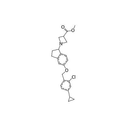 COC(=O)C1CN(C2CCc3cc(OCc4ccc(C5CC5)cc4Cl)ccc32)C1